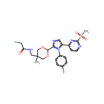 CC1(CNC(=O)CF)COC(c2ncc(-c3ccnc(S(C)(=O)=O)n3)n2-c2ccc(F)cc2)OC1